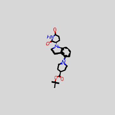 CC(C)(C)OC(=O)C1CCN(c2cccc3c2CCN3[C@H]2CCC(=O)NC2=O)CC1